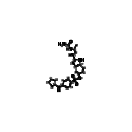 CC(CNc1nc2cc(OS(=O)(=O)c3ccc(NC4CCCC4)cc3)ccc2[nH]1)NC(N)=O